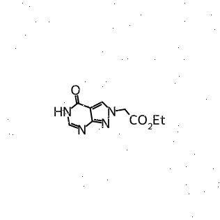 CCOC(=O)Cn1cc2c(=O)[nH]cnc2n1